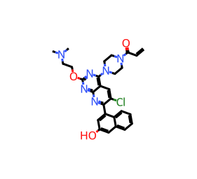 C=CC(=O)N1CCN(c2nc(OCCN(C)C)nc3nc(-c4cc(O)cc5ccccc45)c(Cl)cc23)CC1